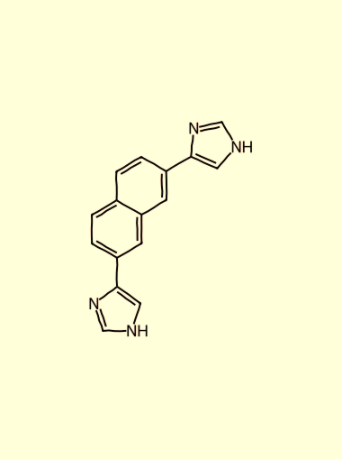 c1nc(-c2ccc3ccc(-c4c[nH]cn4)cc3c2)c[nH]1